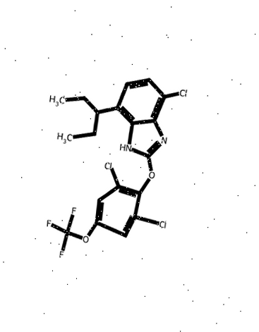 CCC(CC)c1ccc(Cl)c2nc(Oc3c(Cl)cc(OC(F)(F)F)cc3Cl)[nH]c12